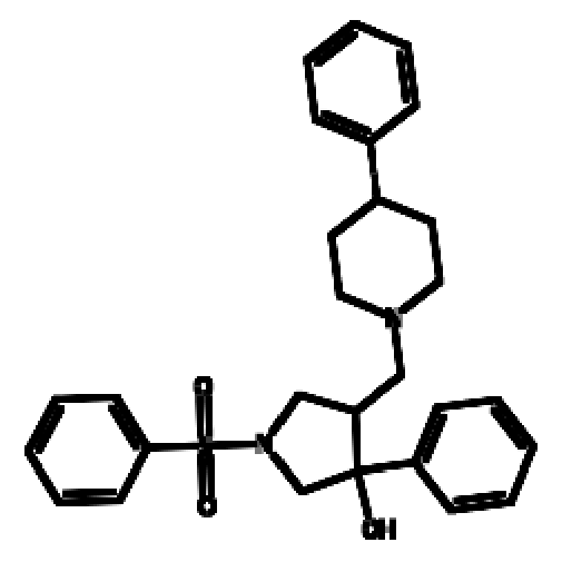 O=S(=O)(c1ccccc1)N1CC(CN2CCC(c3ccccc3)CC2)C(O)(c2ccccc2)C1